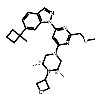 COCc1nc(N2C[C@@H](C)N(C3COC3)[C@@H](C)C2)cc(-n2ncc3ccc(C4(C)CCC4)cc32)n1